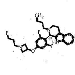 C=CCCN1CCc2c([nH]c3ccccc23)[C@H]1c1c(F)cc(OC2CN(CCCF)C2)cc1F